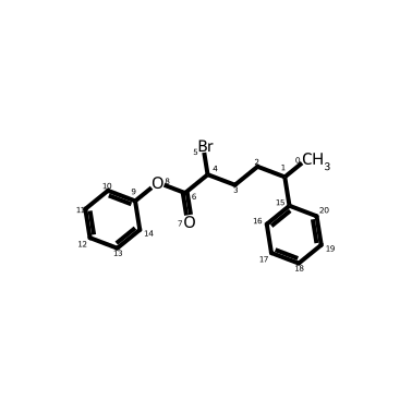 CC(CCC(Br)C(=O)Oc1ccccc1)c1ccccc1